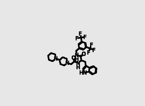 O=C(CN1CCC(N2CCCCC2)CC1)NC(Cc1c[nH]c2ccccc12)C(=O)NCc1cc(C(F)(F)F)cc(C(F)(F)F)c1